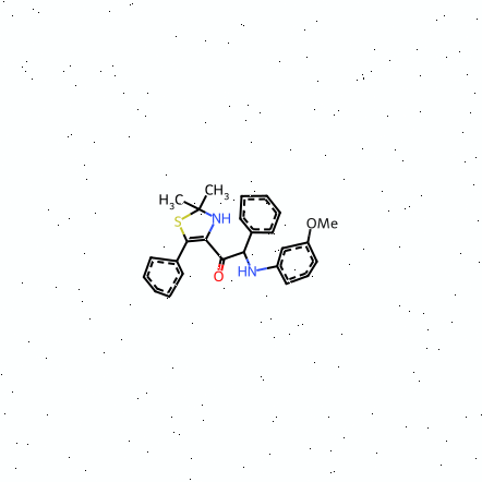 COc1cccc(NC(C(=O)C2=C(c3ccccc3)SC(C)(C)N2)c2ccccc2)c1